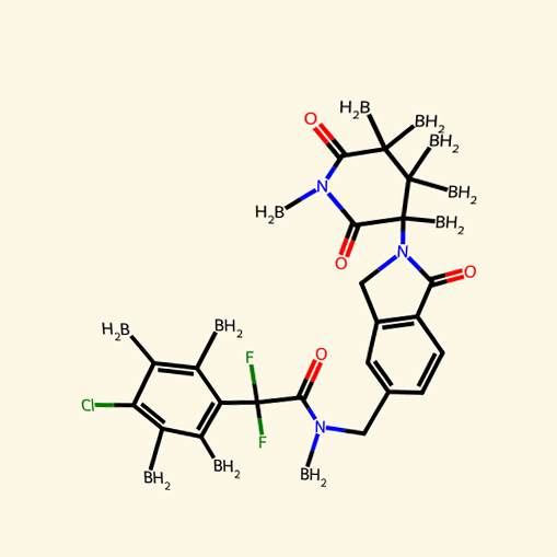 Bc1c(B)c(C(F)(F)C(=O)N(B)Cc2ccc3c(c2)CN(C2(B)C(=O)N(B)C(=O)C(B)(B)C2(B)B)C3=O)c(B)c(B)c1Cl